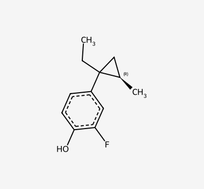 CCC1(c2ccc(O)c(F)c2)C[C@H]1C